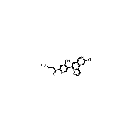 CCCC(=O)c1cc(C)c(-c2cc3cnc(Cl)cc3c3ccnn23)cn1